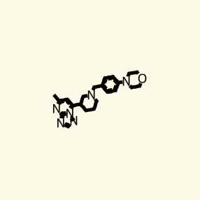 Cc1cc(C2CCCN(Cc3ccc(N4CCOCC4)cc3)C2)n2ncnc2n1